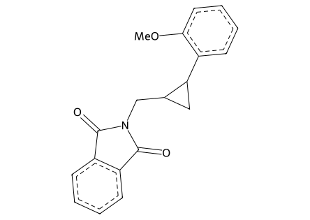 COc1ccccc1C1CC1CN1C(=O)c2ccccc2C1=O